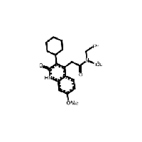 CCCCN(CC(C)C)C(=O)Cc1c(C2CCCCC2)c(=O)[nH]c2cc(OC)ccc12